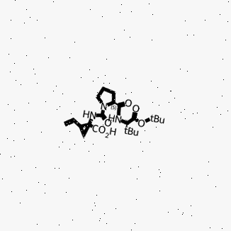 C=CC1CC1(NC(=O)N1CCC[C@H]1C(=O)N[C@H](C(=O)OC(C)(C)C)C(C)(C)C)C(=O)O